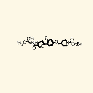 C[C@@H](O)CNC(=O)C1CC=C(c2ccc(OCC3CCN(C(=O)OC(C)(C)C)CC3)cc2F)CC1